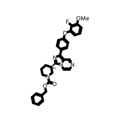 COc1cccc(Oc2ccc(-c3nc([C@@H]4CCCN(C(=O)OCc5ccccc5)C4)n4ccncc34)cc2)c1F